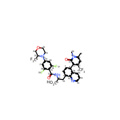 Cc1cc(C(F)(F)F)c(-c2ccc(CC(NC(=O)c3c(F)cc(N4CCOCC4C(F)(F)F)cc3F)C(=O)O)c3ncccc23)c(=O)n1C